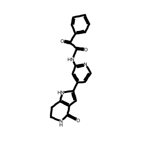 O=C(Nc1cc(-c2cc3c([nH]2)CCNC3=O)ccn1)C(=O)c1ccccc1